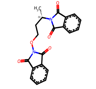 C[C@@H](CCON1C(=O)c2ccccc2C1=O)N1C(=O)c2ccccc2C1=O